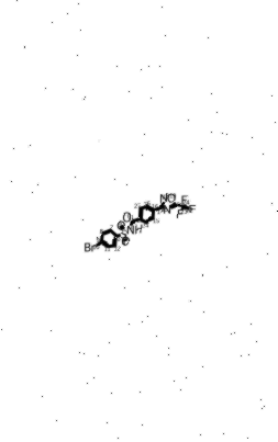 O=C(NS(=O)(=O)c1ccc(Br)cc1)c1ccc(-c2noc(C(F)(F)F)n2)cc1